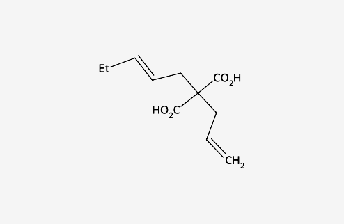 C=CCC(CC=CCC)(C(=O)O)C(=O)O